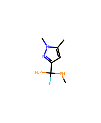 CPC(F)(P)c1cc(C)n(C)n1